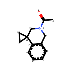 CC(=O)N1Cc2ccccc2C2(CC2)C1